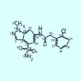 Cn1ncc2c(S(N)(=O)=O)cc(NC(=O)Cc3ccccc3Cl)cc21